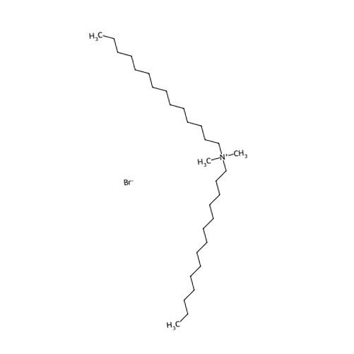 CCCCCCCCCCCCCC[N+](C)(C)CCCCCCCCCCCCCC.[Br-]